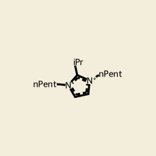 CCCCCn1cc[n+](CCCCC)c1C(C)C